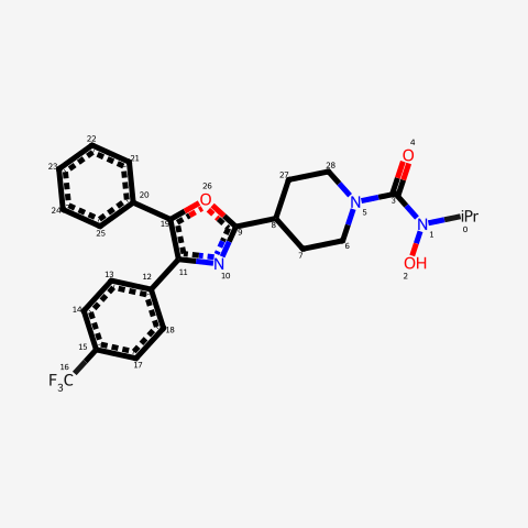 CC(C)N(O)C(=O)N1CCC(c2nc(-c3ccc(C(F)(F)F)cc3)c(-c3ccccc3)o2)CC1